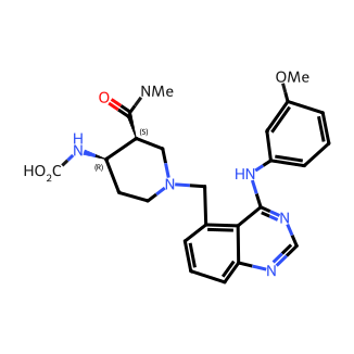 CNC(=O)[C@H]1CN(Cc2cccc3ncnc(Nc4cccc(OC)c4)c23)CC[C@H]1NC(=O)O